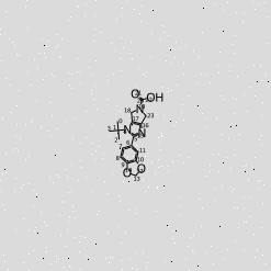 CC(C)(C)n1c(-c2ccc3c(c2)OCO3)nc2c1CN(C(=O)O)C2